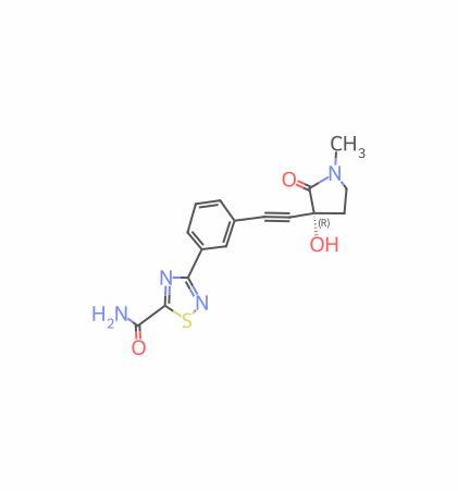 CN1CC[C@@](O)(C#Cc2cccc(-c3nsc(C(N)=O)n3)c2)C1=O